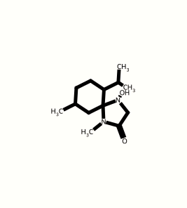 CC1CCC(C(C)C)C2(C1)N(O)CC(=O)N2C